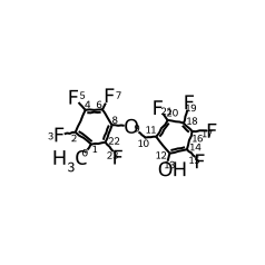 Cc1c(F)c(F)c(F)c(OCc2c(O)c(F)c(F)c(F)c2F)c1F